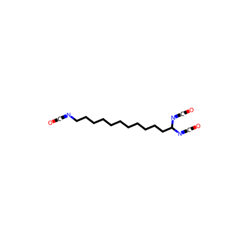 O=C=NCCCCCCCCCCCC(N=C=O)N=C=O